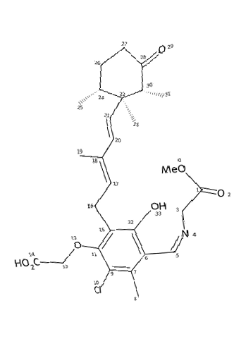 COC(=O)C/N=C\c1c(C)c(Cl)c(OCC(=O)O)c(C/C=C(C)/C=C/[C@@]2(C)[C@H](C)CCC(=O)[C@@H]2C)c1O